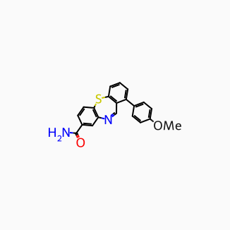 COc1ccc(-c2cccc3c2C=Nc2cc(C(N)=O)ccc2S3)cc1